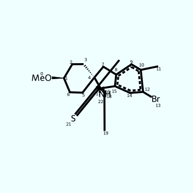 CO[C@H]1CC[C@]2(CC1)Cc1cc(C)c(Br)cc1C21N=C(C)C(=S)N1